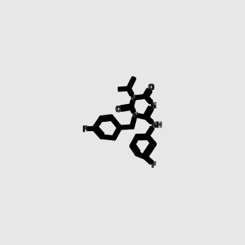 CC(C)n1c(=O)nc(Nc2cccc(F)c2)n(CC2C=CC(F)=CC2)c1=O